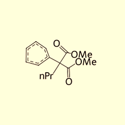 CCCC(C(=O)OC)(C(=O)OC)c1ccccc1